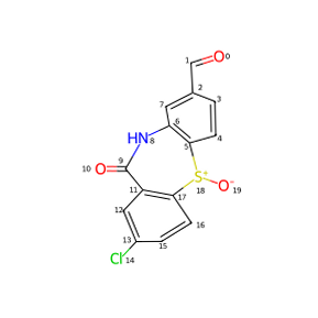 O=Cc1ccc2c(c1)NC(=O)c1cc(Cl)ccc1[S+]2[O-]